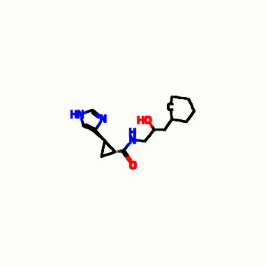 O=C(NCC(O)CC1CCCCC1)[C@@H]1C[C@H]1c1c[nH]cn1